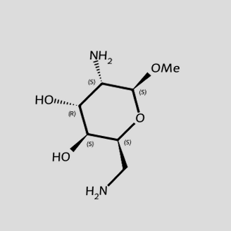 CO[C@H]1O[C@@H](CN)[C@@H](O)[C@H](O)[C@@H]1N